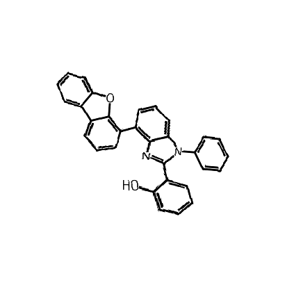 Oc1ccccc1-c1nc2c(-c3cccc4c3oc3ccccc34)cccc2n1-c1ccccc1